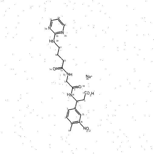 Cc1ccc(C(CC(=O)O)NC(=O)CNC(=O)CCCNc2ncccn2)cc1[N+](=O)[O-].[Na+]